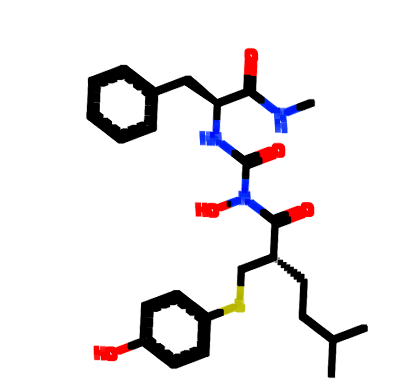 CNC(=O)[C@H](Cc1ccccc1)NC(=O)N(O)C(=O)[C@H](CCC(C)C)CSc1ccc(O)cc1